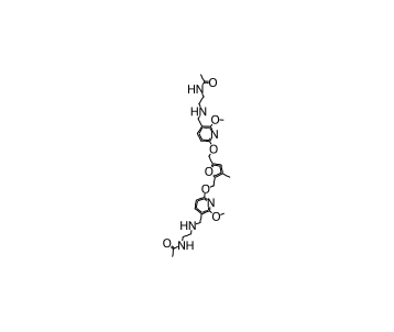 COc1nc(OCc2cc(C)c(COc3ccc(CNCCNC(C)=O)c(OC)n3)o2)ccc1CNCCNC(C)=O